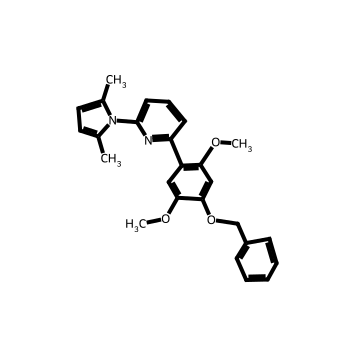 COc1cc(-c2cccc(-n3c(C)ccc3C)n2)c(OC)cc1OCc1ccccc1